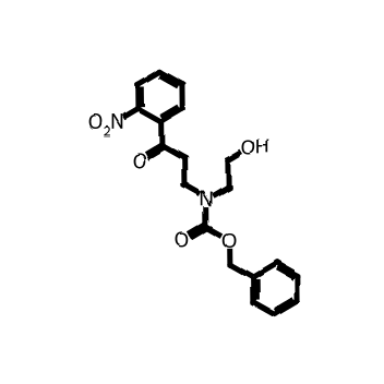 O=C(CCN(CCO)C(=O)OCc1ccccc1)c1ccccc1[N+](=O)[O-]